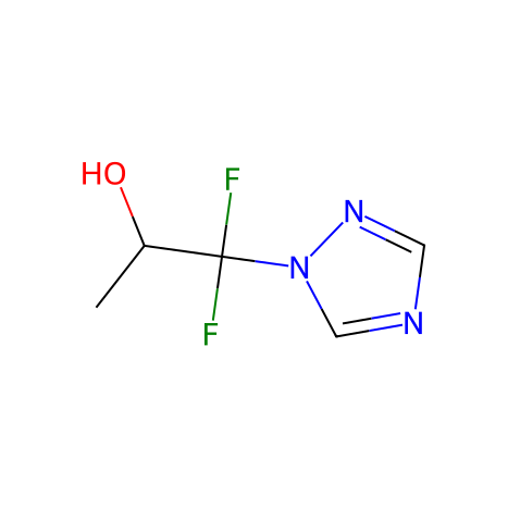 CC(O)C(F)(F)n1cncn1